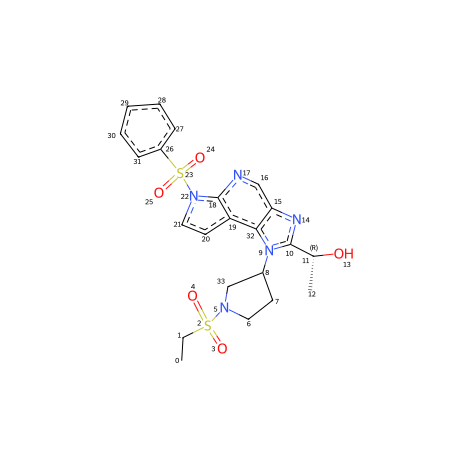 CCS(=O)(=O)N1CCC(n2c([C@@H](C)O)nc3cnc4c(ccn4S(=O)(=O)c4ccccc4)c32)C1